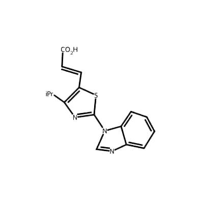 CC(C)c1nc(-n2cnc3ccccc32)sc1/C=C/C(=O)O